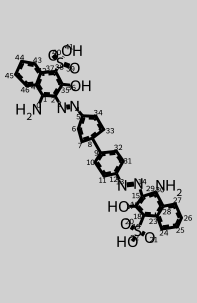 Nc1c(/N=N/c2ccc(-c3ccc(/N=N/c4c(O)c(S(=O)(=O)O)c5ccccc5c4N)cc3)cc2)c(O)c(S(=O)(=O)O)c2ccccc12